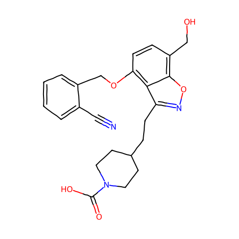 N#Cc1ccccc1COc1ccc(CO)c2onc(CCC3CCN(C(=O)O)CC3)c12